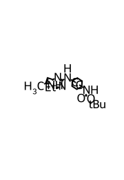 CC/C=N\C(=N/C1C=C(C)N1)NC12CCC(NC(=O)OC(C)(C)C)(CC1)CC2